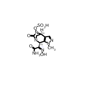 Cn1ncc2c1[C@@H](/C(=N/O)C(N)=O)N1C[C@H]2N(OS(=O)(=O)O)C1=O